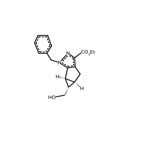 CCOC(=O)c1nn(Cc2ccccc2)c2c1C[C@H]1[C@H](CO)[C@@H]21